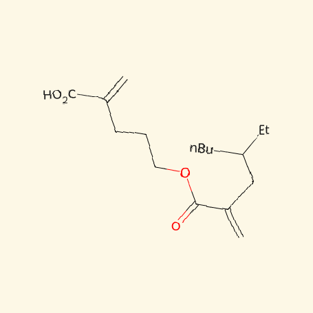 C=C(CCCOC(=O)C(=C)CC(CC)CCCC)C(=O)O